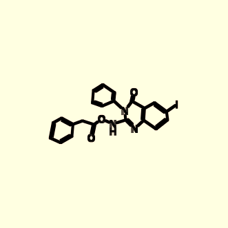 O=C(Cc1ccccc1)ONc1nc2ccc(I)cc2c(=O)n1-c1ccccc1